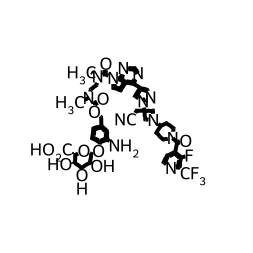 CN(CCN(C)C(=O)n1ccc2c(-c3cnn(C4(CC#N)CN(C5CCN(C(=O)c6ccnc(C(F)(F)F)c6F)CC5)C4)c3)ncnc21)C(=O)OCc1ccc(O[C@@H]2O[C@H](C(=O)O)[C@@H](O)[C@H](O)[C@H]2O)c(N)c1